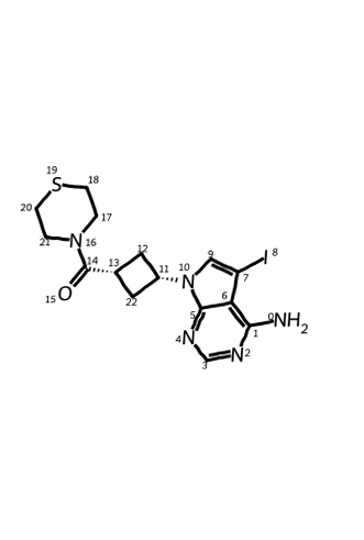 Nc1ncnc2c1c(I)cn2[C@H]1C[C@@H](C(=O)N2CCSCC2)C1